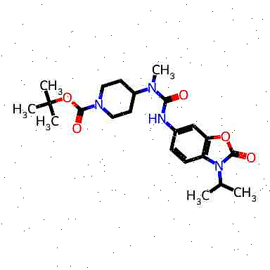 CC(C)n1c(=O)oc2cc(NC(=O)N(C)C3CCN(C(=O)OC(C)(C)C)CC3)ccc21